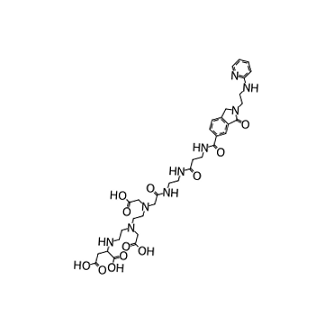 O=C(O)CC(NCCN(CCN(CC(=O)O)CC(=O)NCCNC(=O)CCNC(=O)c1ccc2c(c1)C(=O)N(CCNc1ccccn1)C2)CC(=O)O)C(=O)O